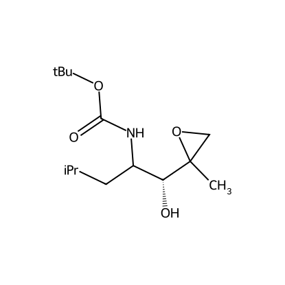 CC(C)CC(NC(=O)OC(C)(C)C)[C@@H](O)C1(C)CO1